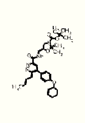 CCCCc1nnc(C(=O)NCC2CN(C(=O)OC(C)(C)C)C(C)(C)O2)cc1-c1ccc(OC2CCCCC2)cc1